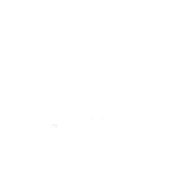 CCOc1ccc(-c2cc3c(cc2Cl)NC(=O)C3=C(O)c2cc(C)no2)cc1